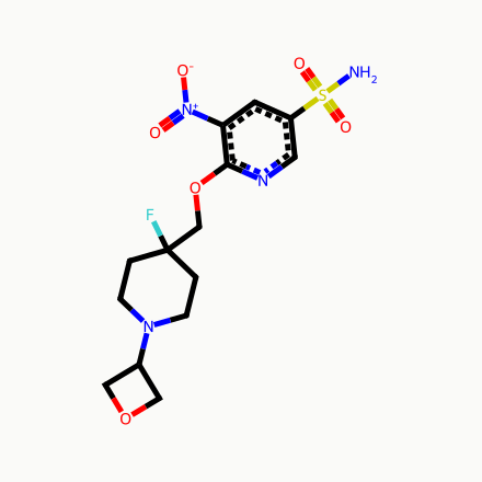 NS(=O)(=O)c1cnc(OCC2(F)CCN(C3COC3)CC2)c([N+](=O)[O-])c1